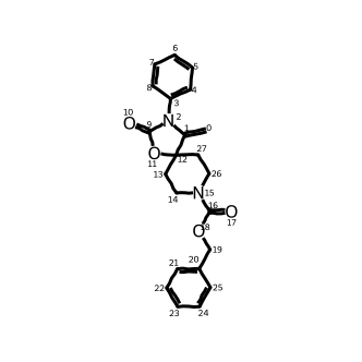 C=C1N(c2ccccc2)C(=O)OC12CCN(C(=O)OCc1ccccc1)CC2